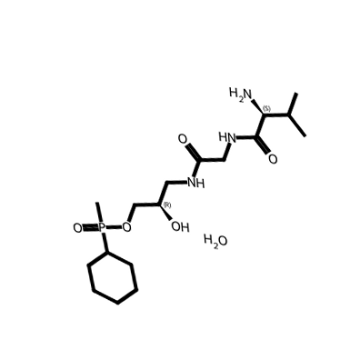 CC(C)[C@H](N)C(=O)NCC(=O)NC[C@@H](O)COP(C)(=O)C1CCCCC1.O